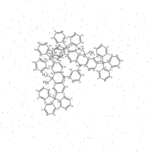 CC1(C)c2cc([Si](c3ccccc3)(c3ccccc3)c3ccccc3)ccc2N(c2cccc(N3c4ccc([Si](c5ccccc5)(c5ccccc5)c5ccccc5)cc4C(C)(C)c4cc([Si](c5ccccc5)(c5ccccc5)c5ccccc5)ccc43)c2)c2ccc([Si](c3ccccc3)(c3ccccc3)c3ccccc3)cc21